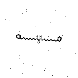 O=C(NCCCCCCCCCc1ccccc1)NCCCCCCCCCc1ccccc1